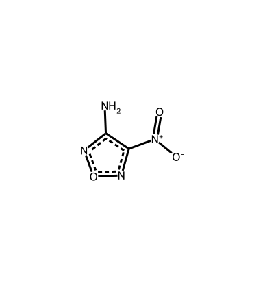 Nc1nonc1[N+](=O)[O-]